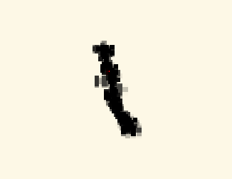 C=C(C)C(=O)OCCCOC(=O)CC(=O)NCCNC(=O)CC(=O)OOCCc1ccc(C(=O)C(C)(C)O)cc1